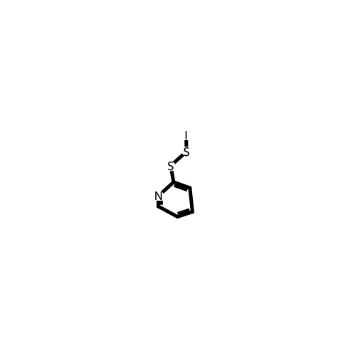 ISSc1ccccn1